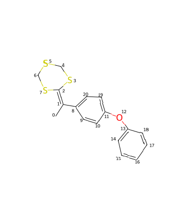 CC(=C1SCSCS1)c1ccc(Oc2ccccc2)cc1